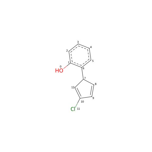 Oc1ccccc1C1C=CC(Cl)=C1